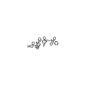 O=C(O)c1cnn2ccc(N3CCCC3c3cc(F)cn(CCCN4C(=O)c5ccccc5C4=O)c3=O)nc12